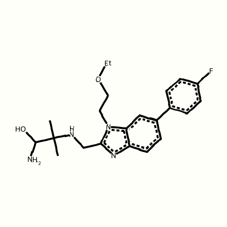 CCOCCn1c(CNC(C)(C)C(N)O)nc2ccc(-c3ccc(F)cc3)cc21